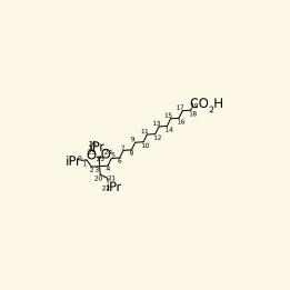 CC(C)CCC(CCCCCCCCCCCCCCCC(=O)O)(CCC(C)C)C(=O)OC(C)C